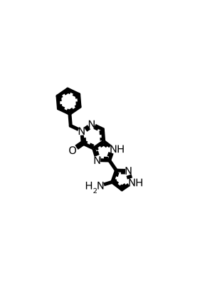 Nc1c[nH]nc1-c1nc2c(=O)n(Cc3ccccc3)ncc2[nH]1